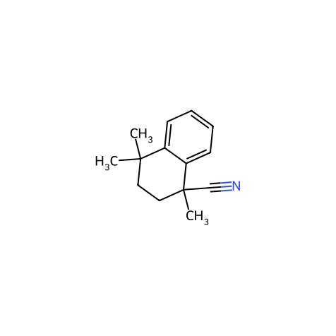 CC1(C)CCC(C)(C#N)c2ccccc21